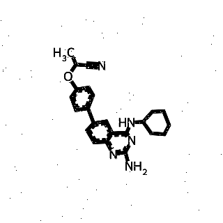 CC(C#N)Oc1ccc(-c2ccc3nc(N)nc(NC4CCCCC4)c3c2)cc1